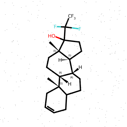 C[C@]12CC=CCC1CC[C@@H]1[C@H]2CC[C@@]2(C)[C@H]1CCC2(O)C(F)(F)C(F)(F)F